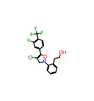 OCCc1ccccc1N1CC(Cl)=C(c2ccc(C(F)(F)F)c(F)c2)O1